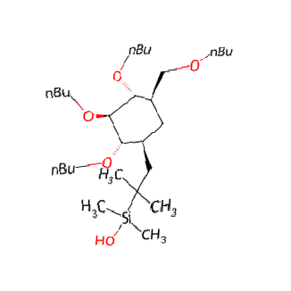 CCCCOC[C@H]1C[C@@H](CC(C)(C)[Si](C)(C)O)[C@H](OCCCC)[C@@H](OCCCC)[C@@H]1OCCCC